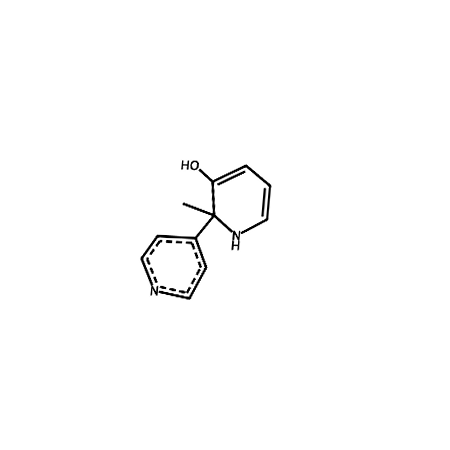 CC1(c2ccncc2)NC=CC=C1O